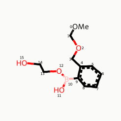 COCOCc1ccccc1B(O)OCCO